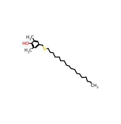 CCCCCCCCCCCCCCCCCCSCc1cc(C)c(O)c(C)c1